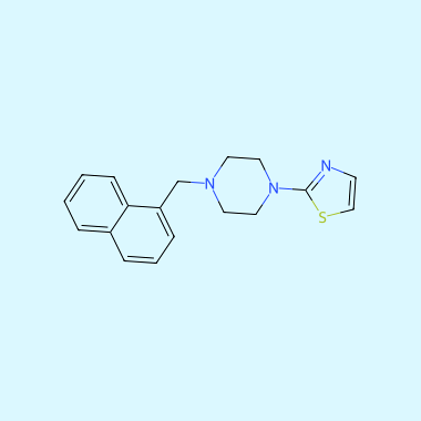 c1ccc2c(CN3CCN(c4nccs4)CC3)cccc2c1